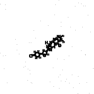 Cc1nc2nc(N)n(Cc3nc(C4COC(c5ccc(Cl)cc5)C4)no3)c(=O)c2n1C